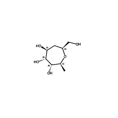 C[C@@H]1O[C@H](CO)C[C@H](O)[C@@H](O)[C@H]1O